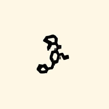 C=CC[C@H]1CN(Cc2ccccc2)CC[C@H]1Nc1ccccc1F